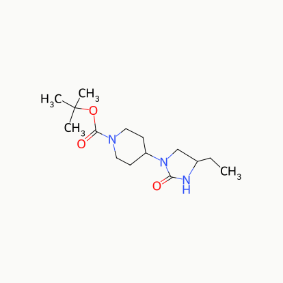 CCC1CN(C2CCN(C(=O)OC(C)(C)C)CC2)C(=O)N1